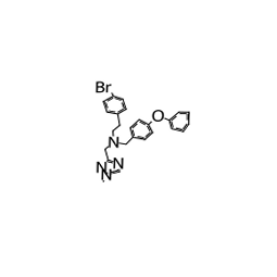 Cn1cnc(CN(CCc2ccc(Br)cc2)Cc2ccc(Oc3ccccc3)cc2)n1